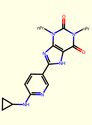 CCCn1c(=O)c2[nH]c(-c3ccc(NC4CC4)nc3)nc2n(CCC)c1=O